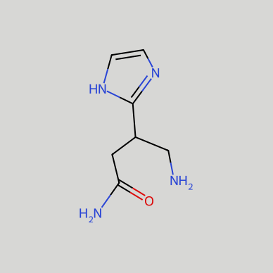 NCC(CC(N)=O)c1ncc[nH]1